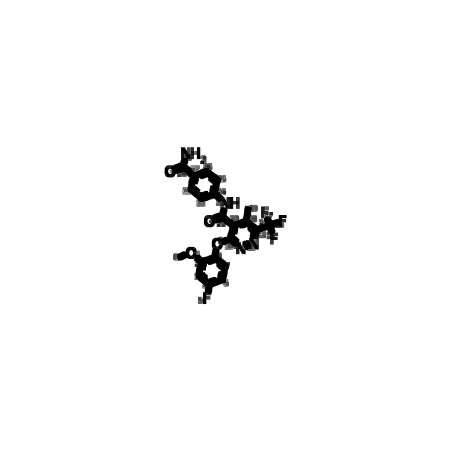 COc1cc(F)ccc1Oc1nnc(C(F)(F)F)c(C)c1C(=O)Nc1ccc(C(N)=O)cc1